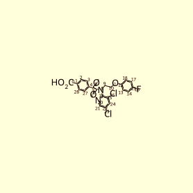 O=C(O)c1ccc(S(=O)(=O)N(CCOc2ccc(F)cc2)c2ncc(Cl)cc2Cl)cc1